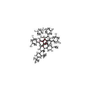 Cc1nc(C)nc(-c2ccc3c(c2)c2cc(-c4nc(C)nc(C)n4)ccc2n3-c2ccc(-c3ccc(C(F)(F)F)cc3C(F)(F)F)cc2-c2ccc(C#N)cc2-n2c3ccc(-c4nc(C)nc(C)n4)cc3c3cc(-c4nc(C)nc(C)n4)ccc32)n1